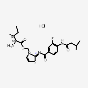 CC[C@H](C)[C@H](N)C(=O)OCn1ccs/c1=N\C(=O)c1ccc(NC(=O)CC(C)C)c(F)c1.Cl